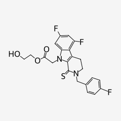 O=C(Cn1c2c(c3c(F)cc(F)cc31)CCN(Cc1ccc(F)cc1)C2=S)OCCO